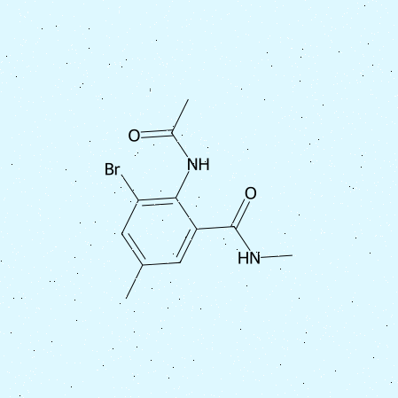 CNC(=O)c1cc(C)cc(Br)c1NC(C)=O